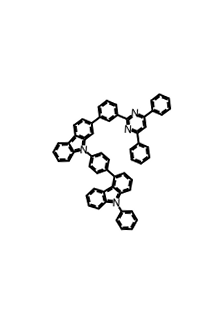 c1ccc(-c2cc(-c3ccccc3)nc(-c3cccc(-c4ccc5c6ccccc6n(-c6ccc(-c7cccc8c7c7ccccc7n8-c7ccccc7)cc6)c5c4)c3)n2)cc1